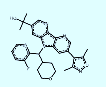 Cc1noc(C)c1-c1cnc2c3ncc(C(C)(C)O)cc3n(C(c3ncccc3F)C3CCOCC3)c2c1